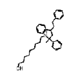 CC(CC(CCc1ccccc1)c1ccccc1)(NCCCCCCCCCO)c1ccccc1